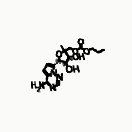 CCCOC(=O)OC[C@@]1(C)O[C@@H](c2ccc3c(N)ncnn23)[C@H](O)[C@@H]1O